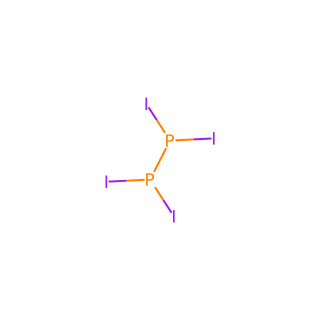 IP(I)P(I)I